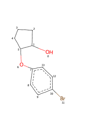 OC1CCCC1Oc1ccc(Br)cc1